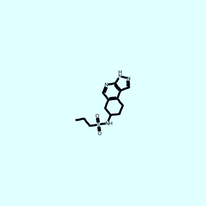 CCCS(=O)(=O)NC1CCc2c(cnc3[nH]ncc23)C1